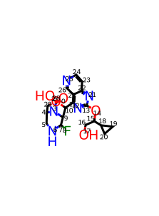 O=C(O)N1C2CNC(F)C1C(c1nc(OC(CO)C3CC3)nc3ccncc13)OC2